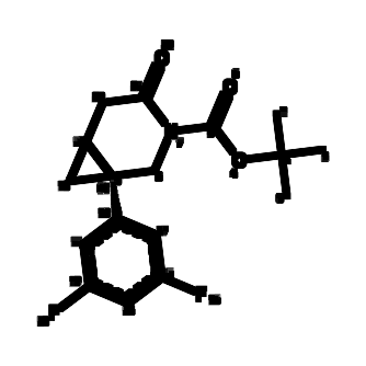 CC(C)(C)OC(=O)N1C[C@@]2(c3cc(F)cc(F)c3)CC2CC1=O